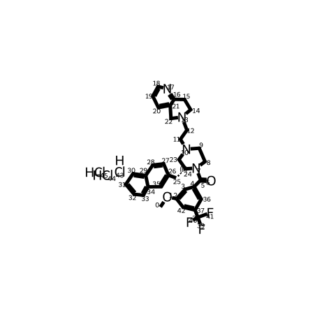 COc1cc(C(=O)N2CCN(CCN3CCc4ncccc4C3)C[C@H]2Cc2ccc3ccccc3c2)cc(C(F)(F)F)c1.Cl.Cl.Cl